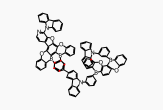 c1ccc(B2c3ccccc3Oc3c2c2c(c4c3oc3c(-n5c6ccccc6c6ccccc65)nccc34)Oc3ccccc3B2c2ccc(-c3ccc4c(c3)c3ccccc3n4-c3cccc(B4c5ccccc5Oc5c4ccc4c5B(c5cccc(-n6c7ccccc7c7ccccc76)c5)c5ccccc5O4)c3)cc2)cc1